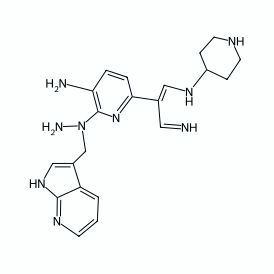 N=C/C(=C\NC1CCNCC1)c1ccc(N)c(N(N)Cc2c[nH]c3ncccc23)n1